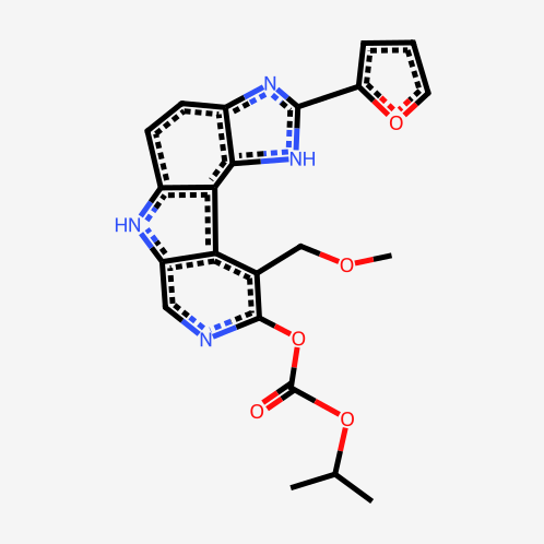 COCc1c(OC(=O)OC(C)C)ncc2[nH]c3ccc4nc(-c5ccco5)[nH]c4c3c12